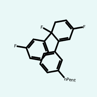 CCCCCc1cccc(C2=CC(F)=CCC2(F)c2cccc(F)c2)c1